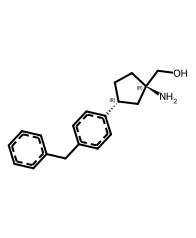 N[C@]1(CO)CC[C@@H](c2ccc(Cc3ccccc3)cc2)C1